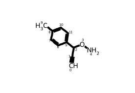 C#CC(ON)c1ccc(C)cc1